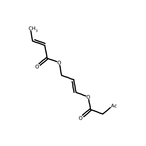 CC=CC(=O)OCC=COC(=O)CC(C)=O